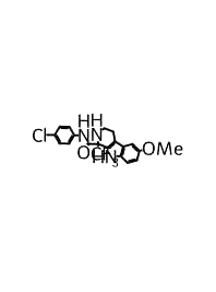 COc1ccc2[nH]c3c(c2c1)CCNC3(C(=O)Nc1ccc(Cl)cc1)C(F)(F)F